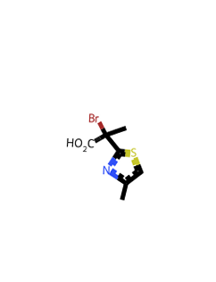 Cc1csc(C(C)(Br)C(=O)O)n1